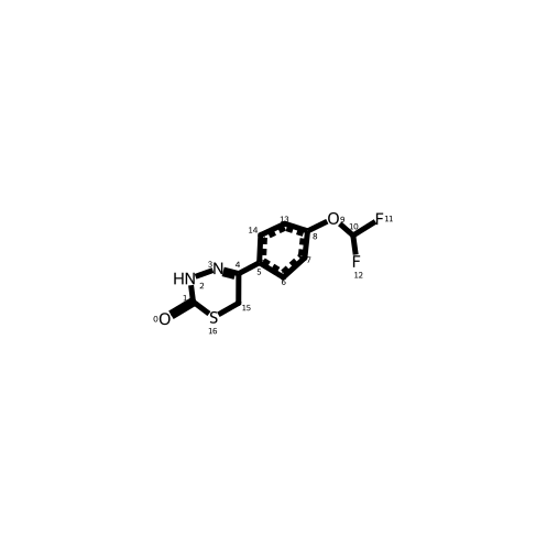 O=C1NN=C(c2ccc(OC(F)F)cc2)CS1